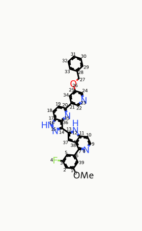 COc1cc(F)cc(-c2nccc3[nH]c(-c4n[nH]c5ccc(-c6cncc(OCc7ccccc7)c6)nc45)cc23)c1